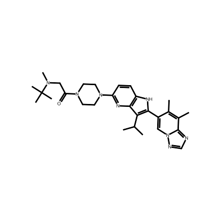 Cc1c(-c2[nH]c3ccc(N4CCN(C(=O)CN(C)C(C)(C)C)CC4)nc3c2C(C)C)cn2ncnc2c1C